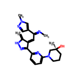 C=c1[nH]nc(-c2cccc(N3CCC[C@](C)(O)C3)n2)/c1=C/C(=N\C)c1cnn(C)c1